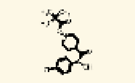 CN(C(=O)C1CCN(OC(=O)C(C)(C)C)CC1)c1ccc(Cl)cc1